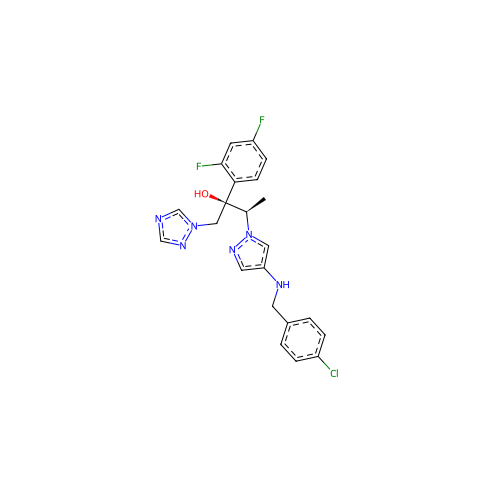 C[C@@H](n1cc(NCc2ccc(Cl)cc2)cn1)[C@](O)(Cn1cncn1)c1ccc(F)cc1F